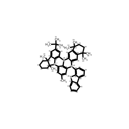 Cc1cc2c3c(c1)N1c4c(cc(C(C)(C)C)cc4C4(C)CCCCC14C)B3c1cc3c(cc1N2c1cccc2c1sc1ccccc12)C(C)(C)CCC3(C)C